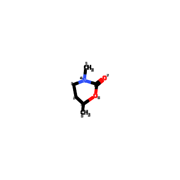 CC1CCN(C)C(=O)O1